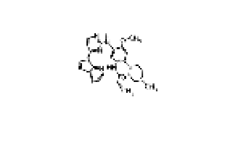 C=CC(=O)Nc1cc(Nc2nccc(-n3ccc4cccnc43)n2)c(OC)cc1N1CCN(C)CC1